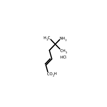 CC(C)(N)C/C=C/C(=O)O.Cl